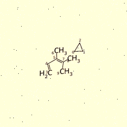 C1CC1.C=CC(C)=C(C)C